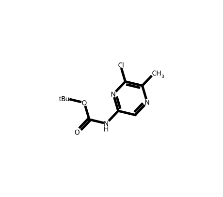 Cc1ncc(NC(=O)OC(C)(C)C)nc1Cl